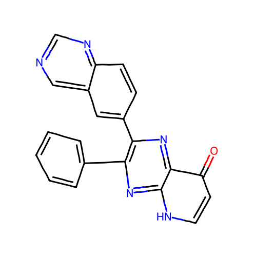 O=c1cc[nH]c2nc(-c3ccccc3)c(-c3ccc4ncncc4c3)nc12